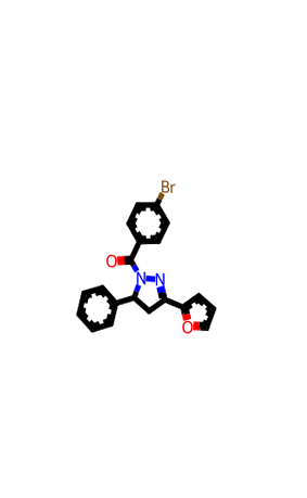 O=C(c1ccc(Br)cc1)N1N=C(c2ccco2)CC1c1ccccc1